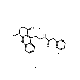 CC1CCC(=O)c2c1nc1ccccc1c2CCNC(=O)Cc1ccccc1